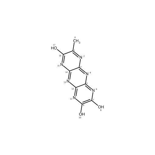 Cc1nc2nc3nc(O)c(O)nc3nc2nc1O